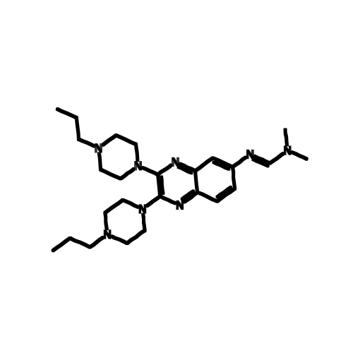 CCCN1CCN(c2nc3ccc(N=CN(C)C)cc3nc2N2CCN(CCC)CC2)CC1